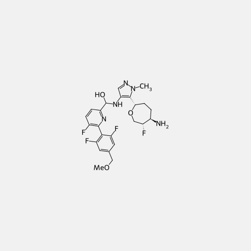 COCc1cc(F)c(-c2nc(C(O)Nc3cnn(C)c3[C@@H]3CC[C@@H](N)[C@H](F)CO3)ccc2F)c(F)c1